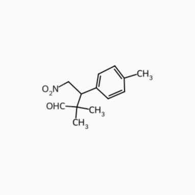 Cc1ccc(C(C[N+](=O)[O-])C(C)(C)C=O)cc1